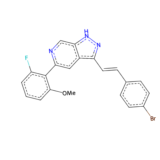 COc1cccc(F)c1-c1cc2c(C=Cc3ccc(Br)cc3)n[nH]c2cn1